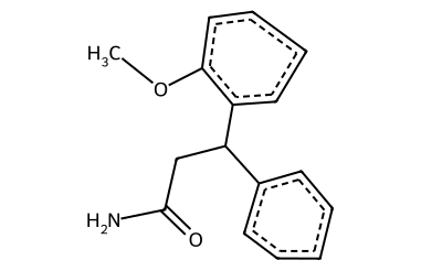 COc1ccccc1C(CC(N)=O)c1ccccc1